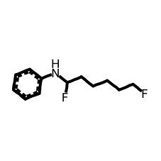 FCCCCCC(F)Nc1ccccc1